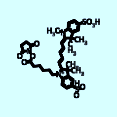 CN1/C(=C/C=C/C=C/C2=[N+](CCCCCC(=O)ON3C(=O)CCC3=O)c3ccc([SH](=O)=O)cc3C2(C)C)C(C)(C)c2cc(S(=O)(=O)O)ccc21